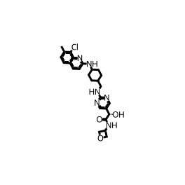 Cc1ccc2ccc(NC3CCC(CNc4ncc([C@H](O)C(=O)NC5COC5)cn4)CC3)nc2c1Cl